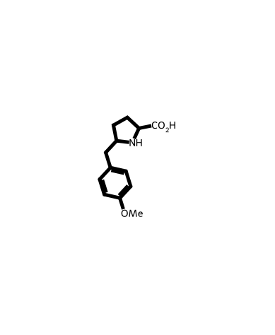 COc1ccc(CC2CCC(C(=O)O)N2)cc1